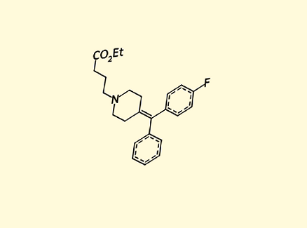 CCOC(=O)CCCN1CCC(=C(c2ccccc2)c2ccc(F)cc2)CC1